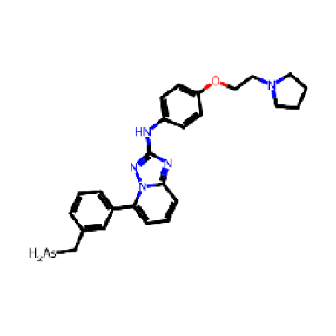 [AsH2]Cc1cccc(-c2cccc3nc(Nc4ccc(OCCN5CCCC5)cc4)nn23)c1